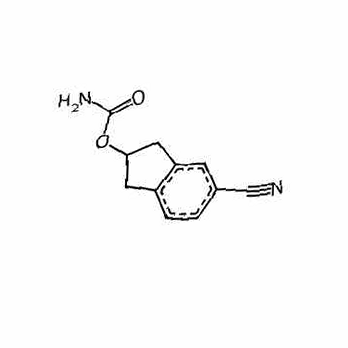 N#Cc1ccc2c(c1)CC(OC(N)=O)C2